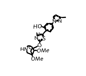 COC1CC2CC(Oc3nnc(-c4ccc(-n5ccc(C)n5)cc4O)s3)CC1(OC)CN2